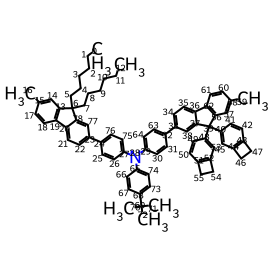 CCCCCCC1(CCCCCC)c2cc(C)ccc2-c2ccc(-c3ccc(N(c4ccc(-c5ccc6c(c5)C(c5ccc7c(c5)CC7)(c5ccc7c(c5)CC7)c5cc(C)ccc5-6)cc4)c4ccc(C(C)(C)C)cc4)cc3)cc21